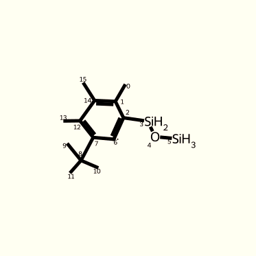 Cc1c([SiH2]O[SiH3])[c]c(C(C)(C)C)c(C)c1C